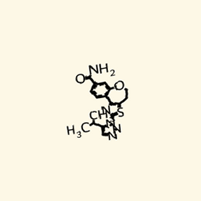 CC(C)c1cnnn1-c1nc2c(s1)CCOc1cc(C(N)=O)ccc1-2